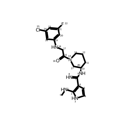 CNc1[nH]ccc1C(=N)N[C@@H]1CCCN(C(=O)CNc2cc(F)cc(Cl)c2)C1